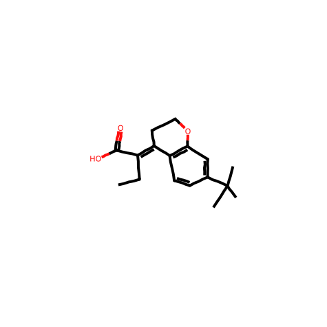 CC/C(C(=O)O)=C1/CCOc2cc(C(C)(C)C)ccc21